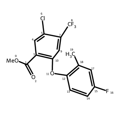 COC(=O)c1cc(Cl)c(C(F)(F)F)cc1Oc1ccc(F)cc1C